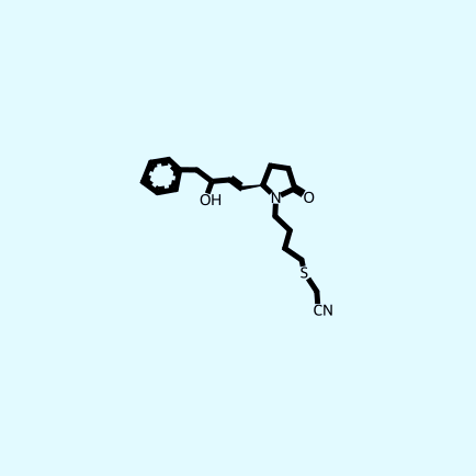 N#CCSCCCCN1C(=O)CC[C@@H]1C=CC(O)Cc1ccccc1